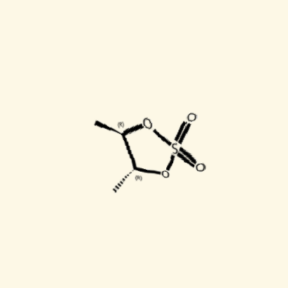 C[C@H]1OS(=O)(=O)O[C@@H]1C